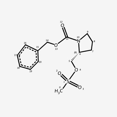 CS(=O)(=O)OC[C@H]1CCCN1C(=O)OCc1ccccc1